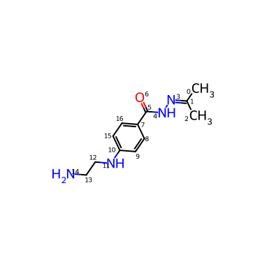 CC(C)=NNC(=O)c1ccc(NCCN)cc1